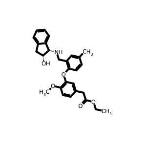 CCOC(=O)Cc1ccc(OC)c(Oc2ccc(C)cc2CN[C@H]2c3ccccc3C[C@H]2O)c1